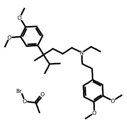 CC(=O)OBr.CCN(CCCC(C)(c1ccc(OC)c(OC)c1)C(C)C)CCc1ccc(OC)c(OC)c1